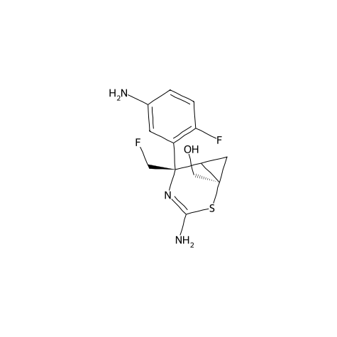 NC1=N[C@](CF)(c2cc(N)ccc2F)C2C[C@@]2(CO)S1